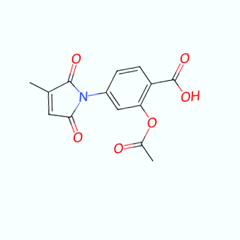 CC(=O)Oc1cc(N2C(=O)C=C(C)C2=O)ccc1C(=O)O